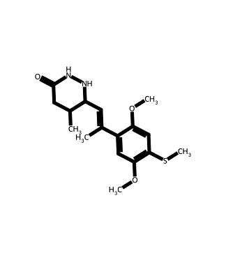 COc1cc(/C(C)=C/C2NNC(=O)CC2C)c(OC)cc1SC